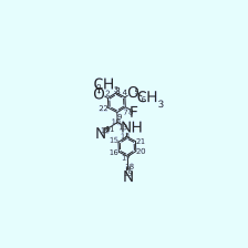 COc1cc(OC)c(F)c(C(C#N)Nc2ccc(C#N)cc2)c1